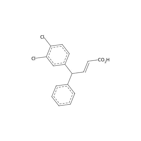 O=C(O)/C=C/C(c1ccccc1)c1ccc(Cl)c(Cl)c1